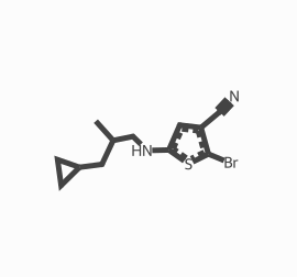 CC(CNc1cc(C#N)c(Br)s1)CC1CC1